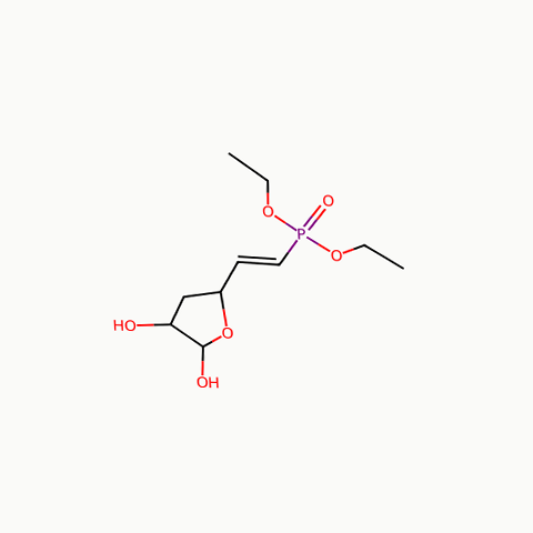 CCOP(=O)(C=CC1CC(O)C(O)O1)OCC